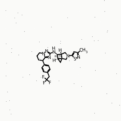 Cc1cc(N2C[C@H]3[C@H](Nc4nc5n(n4)CCCC5c4ccc(CC(F)(F)F)cc4)[C@@H]4CC34C2)sn1